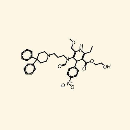 CCC1=C(C(=O)OCCO)C(c2ccc([N+](=O)[O-])cc2)C(N(C=O)CCCN2CCC(c3ccccc3)(c3ccccc3)CC2)=C(COC)N1